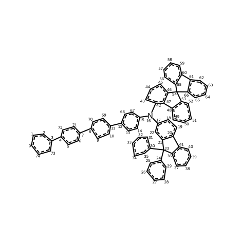 c1ccc(-c2ccc(-c3ccc(-c4ccc(N(c5ccc6c(c5)C(c5ccccc5)(c5ccccc5)c5ccccc5-6)c5cccc6c5-c5ccccc5C65c6ccccc6-c6ccccc65)cc4)cc3)cc2)cc1